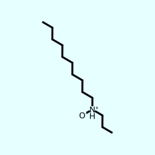 CCCCCCCCCC[NH+]([O-])CCC